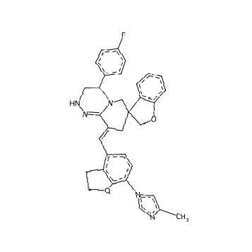 Cc1cn(-c2ccc(/C=C3\CC4(COc5ccccc54)CN4C3=NNCC4c3ccc(F)cc3)c3c2OCC3)cn1